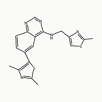 Cc1nc(CNc2ncnc3ccc(-c4sc(C)nc4C)cc23)cs1